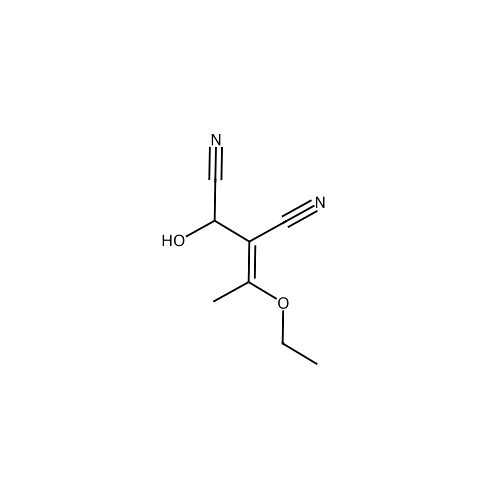 CCO/C(C)=C(\C#N)C(O)C#N